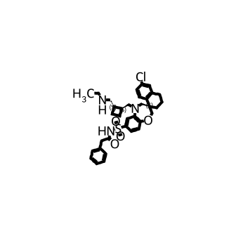 CCNC[C@H]1CC[C@@H]1CN1C[C@@]2(CCCc3cc(Cl)ccc32)COc2ccc(S(=O)(=O)NC(=O)Cc3ccccc3)cc21